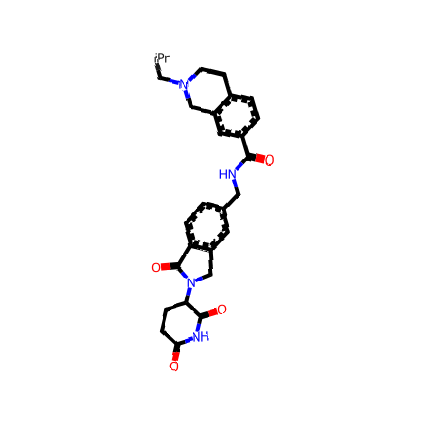 CC(C)CN1CCc2ccc(C(=O)NCc3ccc4c(c3)CN(C3CCC(=O)NC3=O)C4=O)cc2C1